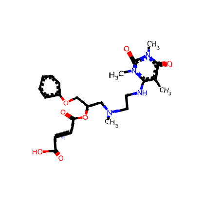 Cc1c(NCCN(C)CC(COc2ccccc2)OC(=O)/C=C/C(=O)O)n(C)c(=O)n(C)c1=O